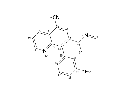 C=NC(C)c1cc(C#N)c2cccnc2c1-c1cccc(F)c1